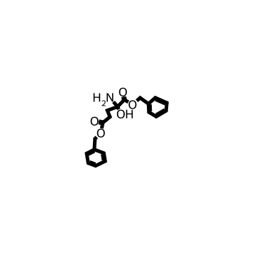 NC(O)(CCC(=O)OCc1ccccc1)C(=O)OCc1ccccc1